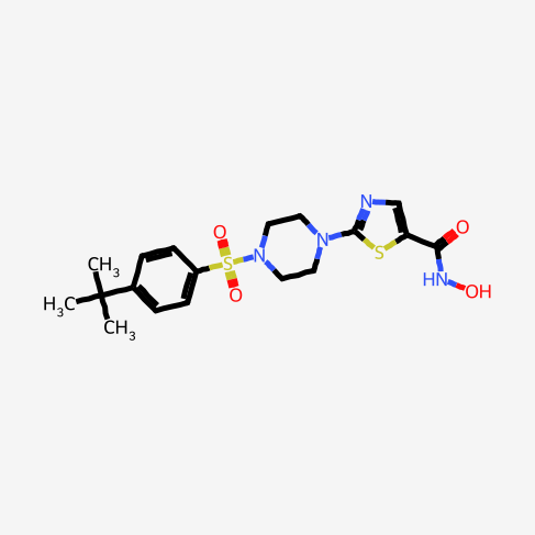 CC(C)(C)c1ccc(S(=O)(=O)N2CCN(c3ncc(C(=O)NO)s3)CC2)cc1